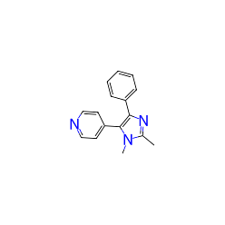 Cc1nc(-c2ccccc2)c(-c2ccncc2)n1C